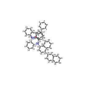 C1=C(c2ccccc2)CCC(N(c2ccccc2-n2c3ccccc3c3ccccc32)c2ccc(-c3ccc4ccccc4c3)c3ccccc23)=C1